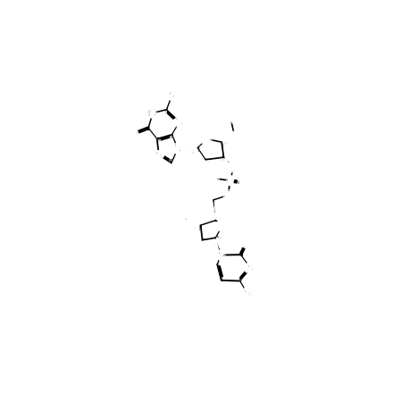 Nc1ccn([C@H]2C[C@H](O)[C@@H](COP(=O)(O)O[C@H]3C[C@H](n4cnc5c(=O)[nH]c(N)nc54)O[C@@H]3CO)O2)c(=O)n1